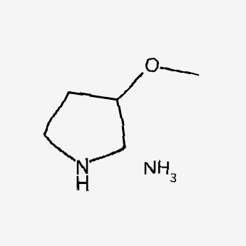 COC1CCNC1.N